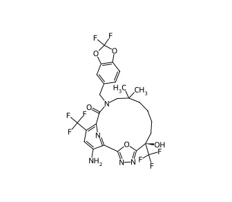 CC1(C)CCCC[C@](O)(C(F)(F)F)c2nnc(o2)-c2nc(c(C(F)(F)F)cc2N)C(=O)N(Cc2ccc3c(c2)OC(F)(F)O3)C1